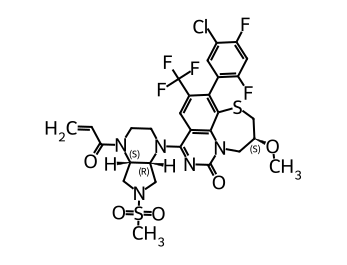 C=CC(=O)N1CCN(c2nc(=O)n3c4c(c(-c5cc(Cl)c(F)cc5F)c(C(F)(F)F)cc24)SC[C@@H](OC)C3)[C@@H]2CN(S(C)(=O)=O)C[C@@H]21